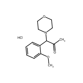 COc1ccccc1C(C(C)=O)N1CCOCC1.Cl